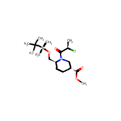 COC(=O)[C@@H]1CC[C@@H](CO[Si](C)(C)C(C)(C)C)N(C(=O)[C@@H](C)Cl)C1